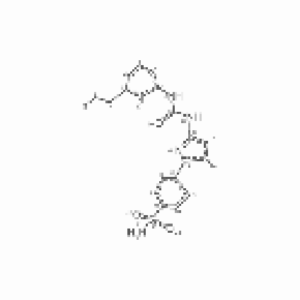 CCCc1cccc(NC(=O)Nc2csc(-c3ccc(S(N)(=O)=O)cc3)n2)n1